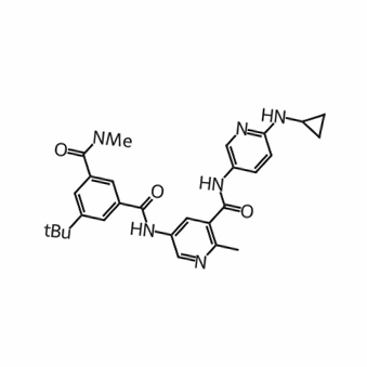 CNC(=O)c1cc(C(=O)Nc2cnc(C)c(C(=O)Nc3ccc(NC4CC4)nc3)c2)cc(C(C)(C)C)c1